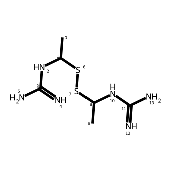 CC(NC(=N)N)SSC(C)NC(=N)N